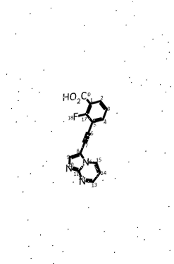 O=C(O)c1cccc(C#Cc2cnc3ncccn23)c1F